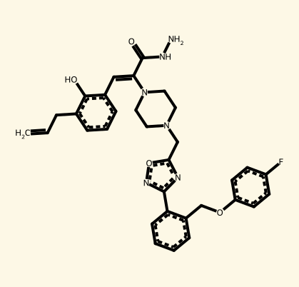 C=CCc1cccc(C=C(C(=O)NN)N2CCN(Cc3nc(-c4ccccc4COc4ccc(F)cc4)no3)CC2)c1O